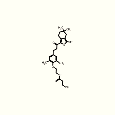 CCc1sc(C(=O)CCc2cc(C)c(OCCNC(=O)CCO)c(C)c2)c2c1CC(C)(C)CC2